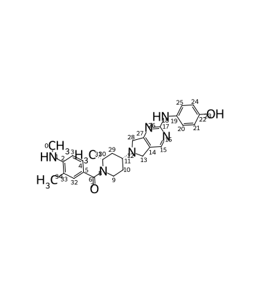 CNc1ccc(C(=O)N2CC[C@@H](N3Cc4cnc(Nc5ccc(O)cc5)nc4C3)C[C@H]2C)cc1C